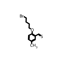 Cc1ccc(OCCCCBr)c(C=S)c1